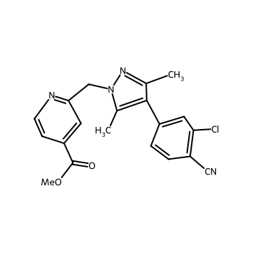 COC(=O)c1ccnc(Cn2nc(C)c(-c3ccc(C#N)c(Cl)c3)c2C)c1